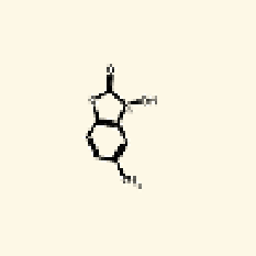 Cc1ccc2c(c1)[C@H](O)C(=O)O2